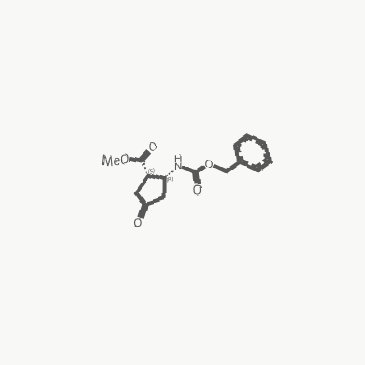 COC(=O)[C@H]1CC(=O)C[C@H]1NC(=O)OCc1ccccc1